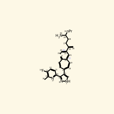 C=C1C=CC(c2c[nH]nc2-c2ccc(F)c(C)n2)=C=C/C1=C/C(=C\C)C(=C)CCC(N)CCC